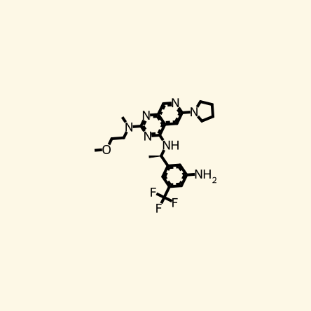 COCCN(C)c1nc(N[C@H](C)c2cc(N)cc(C(F)(F)F)c2)c2cc(N3CCCC3)ncc2n1